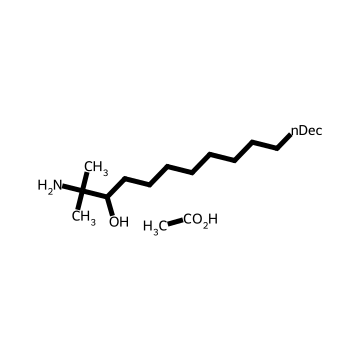 CC(=O)O.CCCCCCCCCCCCCCCCCCC(O)C(C)(C)N